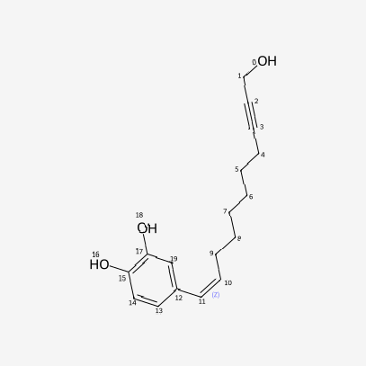 OCC#CCCCCCC/C=C\c1ccc(O)c(O)c1